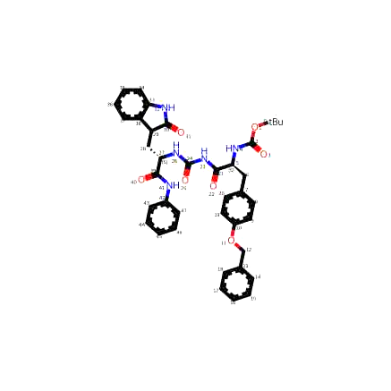 CC(C)(C)OC(=O)N[C@@H](Cc1ccc(OCc2ccccc2)cc1)C(=O)NC(=O)N[C@@H](CC1C(=O)Nc2ccccc21)C(=O)Nc1ccccc1